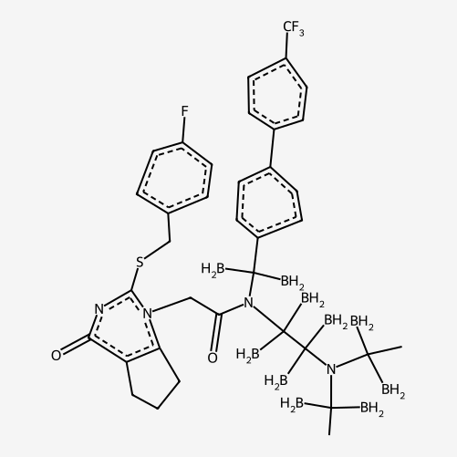 BC(B)(C)N(C(B)(B)C)C(B)(B)C(B)(B)N(C(=O)Cn1c(SCc2ccc(F)cc2)nc(=O)c2c1CCC2)C(B)(B)c1ccc(-c2ccc(C(F)(F)F)cc2)cc1